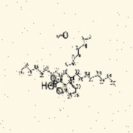 C=O.CCCCCCCCc1c(CCCCCCCC)c(S(=O)(=O)O)c2ccccc2c1CCCCCCCC